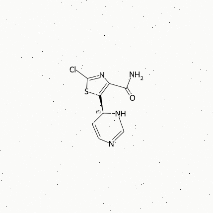 NC(=O)c1nc(Cl)sc1[C@@H]1C=CN=CN1